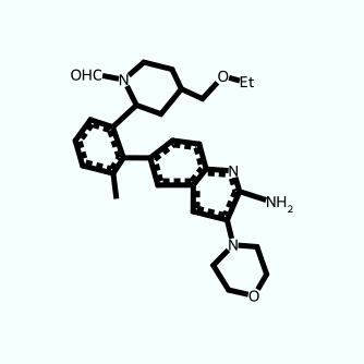 CCOCC1CCN(C=O)C(c2cccc(C)c2-c2ccc3nc(N)c(N4CCOCC4)cc3c2)C1